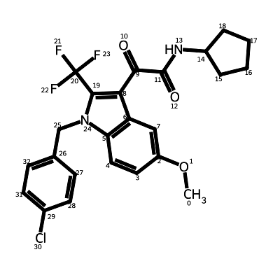 COc1ccc2c(c1)c(C(=O)C(=O)NC1CCCC1)c(C(F)(F)F)n2Cc1ccc(Cl)cc1